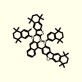 Cc1cc2c(cc1N1c3cc4ccccc4c4c3B(c3sc5cc6c(cc5c31)C(C)(C)CCC6(C)C)N(c1ccc3c(c1)C(C)(C)CCC3(C)C)c1cc3c(cc1-4)oc1cc4c(cc13)C(C)(C)CCC4(C)C)C(C)(C)CCC2(C)C